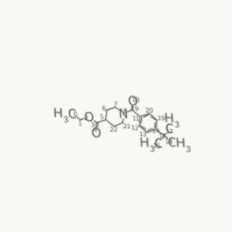 CCOC(=O)C1CCN(C(=O)c2ccc(C(C)(C)C)cc2)CC1